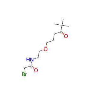 CC(C)(C)C(=O)CCCOCCNC(=O)CBr